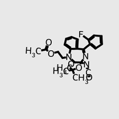 CC(=O)OCCN1C(=O)C(N=C=O)(OC(C)(C)C)N=C(c2ccccc2F)c2ccccc21